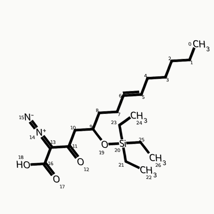 CCCCC/C=C/CCC(CC(=O)C(=[N+]=[N-])C(=O)O)O[Si](CC)(CC)CC